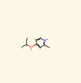 Cc1cc(OC(C)C)ccn1